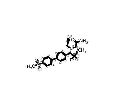 C[C@@H](C(N)=O)N(CC#N)[C@@H](c1ccc(-c2ccc(S(C)(=O)=O)cc2)cc1)C(F)(F)F